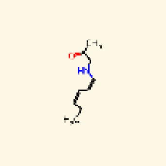 CC/C=C\C=C/NCC(C)=O